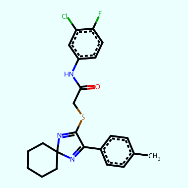 Cc1ccc(C2=NC3(CCCCC3)N=C2SCC(=O)Nc2ccc(F)c(Cl)c2)cc1